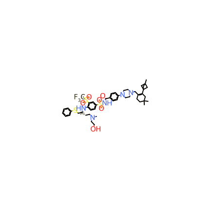 CN(CCO)CC[C@H](CSc1ccccc1)Nc1ccc(S(=O)(=O)NC(=O)c2ccc(N3CCN(CC4=C(C56CC(C)(C5)C6)CC(C)(C)CC4)CC3)cc2)cc1S(=O)(=O)C(F)(F)F